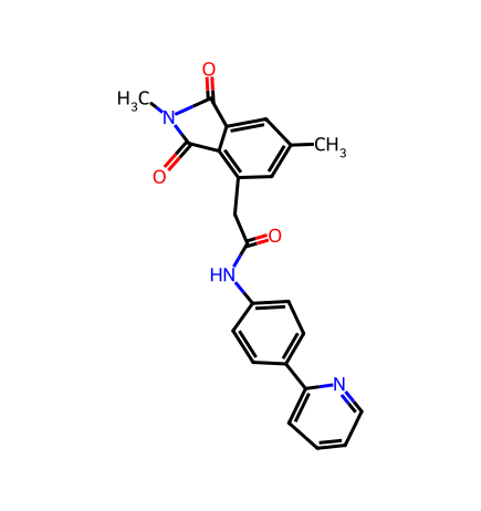 Cc1cc(CC(=O)Nc2ccc(-c3ccccn3)cc2)c2c(c1)C(=O)N(C)C2=O